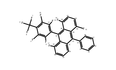 Fc1c(F)c(C(F)(F)F)c(F)c(F)c1-c1c2c(F)cccc2c(-c2ccccc2)c2c(F)ccc(F)c12